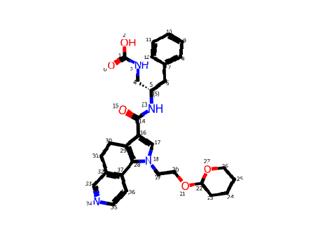 O=C(O)NC[C@H](Cc1ccccc1)NC(=O)c1cn(CCOC2CCCCO2)c2c1CCc1cnccc1-2